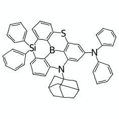 c1ccc(N(c2ccccc2)c2cc3c4c(c2)N(C25CC6CC(CC(C6)C2)C5)c2cccc5c2B4c2c(cccc2[Si]5(c2ccccc2)c2ccccc2)S3)cc1